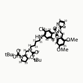 COc1ccc(CN(c2nccs2)S(=O)(=O)c2cc(Cl)c(NCCCCN(C[C@H]3CCCN3C(=O)OC(C)(C)C)C(=O)OC(C)(C)C)cc2F)c(OC)c1